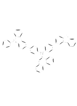 c1ccc(-n2c3ccccc3c3cc(-c4ccc(N(c5ccc(-c6ccc7sc8ccccc8c7c6)cc5)c5cc6ccccc6c6ccccc56)cc4)ccc32)cc1